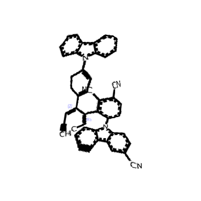 C#C/C=C(C1=CC=C(n2c3ccccc3c3ccccc32)CC1)\C(=C/C)c1c(-n2c3ccc#cc3c3cc(C#N)ccc32)ccc(C#N)c1C#N